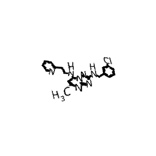 Cc1cc(NCCc2ccccn2)n2nc(NCc3cccc(Cl)c3)nc2n1